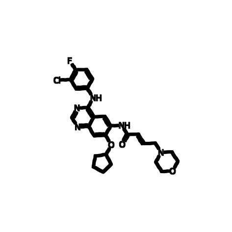 O=C(C=CCN1CCOCC1)Nc1cc2c(Nc3ccc(F)c(Cl)c3)ncnc2cc1OC1CCCC1